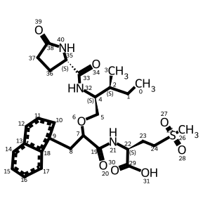 CC[C@H](C)[C@@H](COC(Cc1cccc2ccccc12)C(=O)N[C@@H](CCS(C)(=O)=O)C(=O)O)NC(=O)[C@@H]1CCC(=O)N1